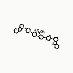 CC1(C)c2cc(-c3ccc(-c4cccc5c4oc4ccccc45)nc3)ccc2-c2ccc(-c3ccc(-c4cccc5c4sc4ccccc45)nc3)cc21